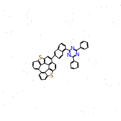 c1ccc(-c2nc(-c3ccccc3)nc(-c3cccc4cc(-c5cc6sc7cccc8c7c6c6c5ccc5sc7cccc-8c7c56)ccc34)n2)cc1